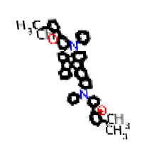 CC(C)c1cccc2c1oc1ccc(N(c3ccccc3)c3ccc4c(c3)C3(c5ccccc5-c5ccccc53)c3cc5cc(N(c6ccccc6)c6ccc7oc8c(C(C)C)cccc8c7c6)ccc5cc3-4)cc12